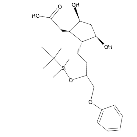 CC(C)(C)[Si](C)(C)OC(CC[C@@H]1[C@@H](CC(=O)O)[C@@H](O)C[C@H]1O)COc1ccccc1